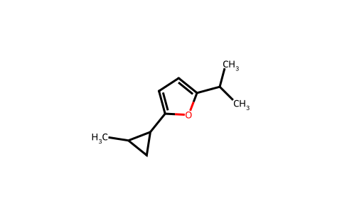 CC(C)c1ccc(C2CC2C)o1